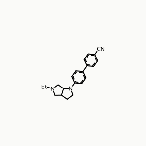 CCN1CC2CCN(c3ccc(-c4ccc(C#N)cc4)cc3)C2C1